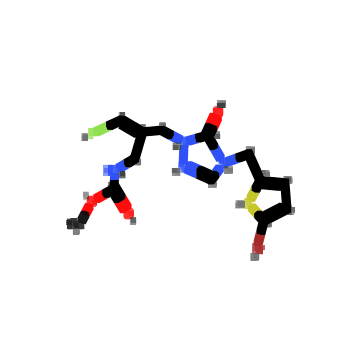 CC(C)(C)OC(=O)NC/C(=C\F)Cn1ncn(Cc2ccc(Br)s2)c1=O